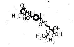 C=C(C)C(=O)OC(CCOC(=O)Nc1ccc(C(=O)Nc2nc(=O)cc(C)[nH]2)cc1)C(O)CO